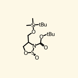 CC(C)(C)OC(=O)N1C(CO[Si](C)(C)C(C)(C)C)COS1=O